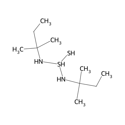 CCC(C)(C)N[SH](S)NC(C)(C)CC